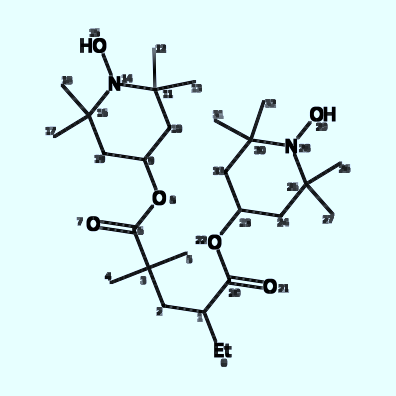 CCC(CC(C)(C)C(=O)OC1CC(C)(C)N(O)C(C)(C)C1)C(=O)OC1CC(C)(C)N(O)C(C)(C)C1